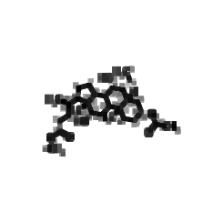 CC[C@H]1[C@@H](O)C2C3CC[C@H]([C@H](C)CCC(=O)OC)[C@@]3(C)[C@@H](O)CC2[C@@]2(C)CC[C@@H](OC(C)=O)C[C@@H]12